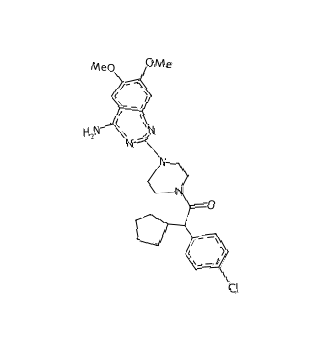 COc1cc2nc(N3CCN(C(=O)C(c4ccc(Cl)cc4)C4CCCC4)CC3)nc(N)c2cc1OC